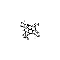 CN(c1cc(O)c2ccc3c(N(C)S(C)(=O)=O)cc(N(C)S(C)(=O)=O)c4ccc1c2c34)S(C)(=O)=O